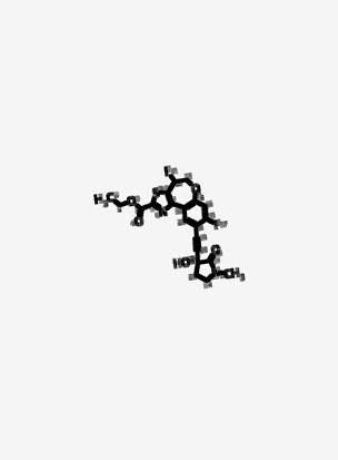 CCOC(=O)c1nc2c(s1)C(F)COc1cc(F)c(C#C[C@]3(O)CCN(C)C3=O)cc1-2